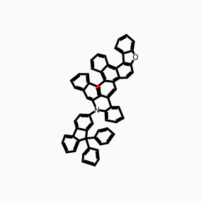 c1ccc(C2(c3ccccc3)c3ccccc3-c3ccc(N(c4ccc5ccccc5c4)c4ccccc4-c4ccc5c6ccccc6c6c(ccc7oc8ccccc8c76)c5c4)cc32)cc1